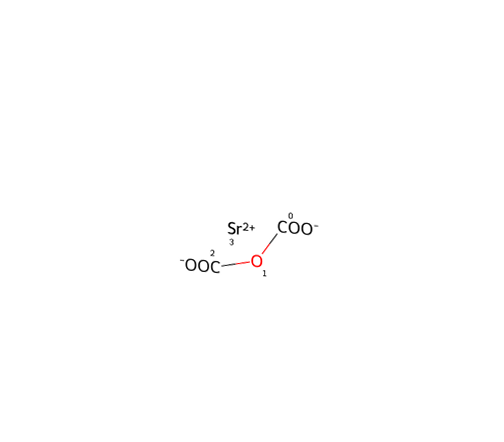 O=C([O-])OC(=O)[O-].[Sr+2]